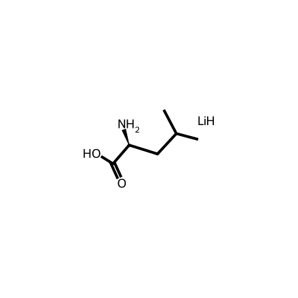 CC(C)C[C@H](N)C(=O)O.[LiH]